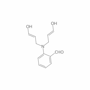 O=Cc1ccccc1N(CC=CO)CC=CO